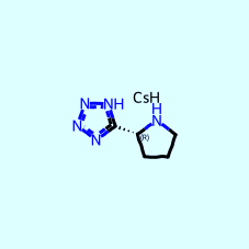 C1CN[C@@H](c2nnn[nH]2)C1.[CsH]